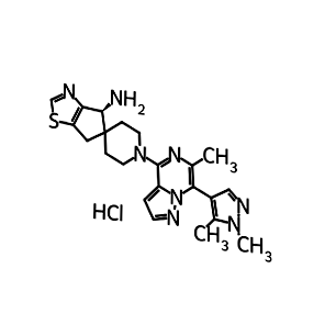 Cc1nc(N2CCC3(CC2)Cc2scnc2[C@H]3N)c2ccnn2c1-c1cnn(C)c1C.Cl